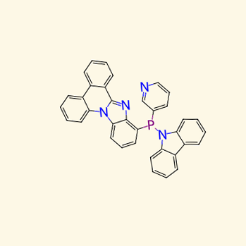 c1cncc(P(c2cccc3c2nc2c4ccccc4c4ccccc4n32)n2c3ccccc3c3ccccc32)c1